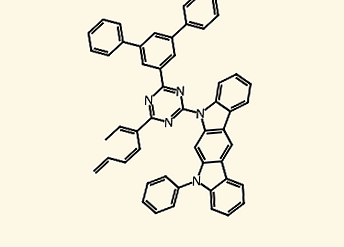 C=C/C=C\C(=C/C)c1nc(-c2cc(-c3ccccc3)cc(-c3ccccc3)c2)nc(-n2c3ccccc3c3cc4c5ccccc5n(-c5ccccc5)c4cc32)n1